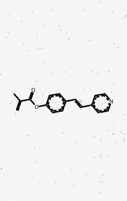 C=C(C)C(=O)Oc1ccc(/C=C/c2ccncc2)cc1